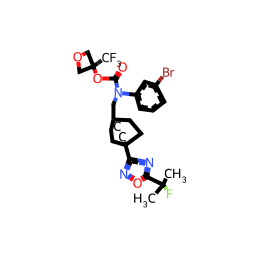 CC(C)(F)c1nc(C23CCC(CN(C(=O)OC4(C(F)(F)F)COC4)c4cccc(Br)c4)(CC2)CC3)no1